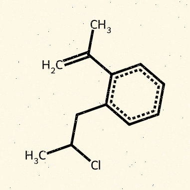 C=C(C)c1ccccc1CC(C)Cl